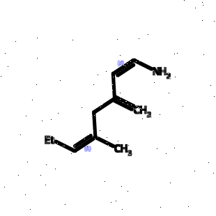 C=C(/C=C\N)C/C(C)=C\CC